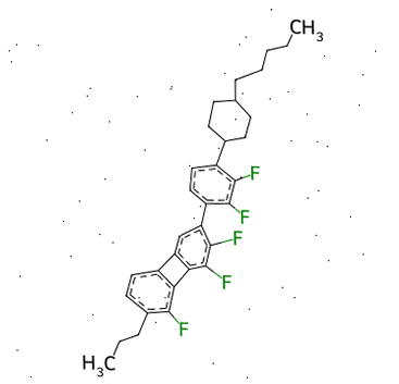 CCCCCC1CCC(c2ccc(-c3cc4c(c(F)c3F)-c3c-4ccc(CCC)c3F)c(F)c2F)CC1